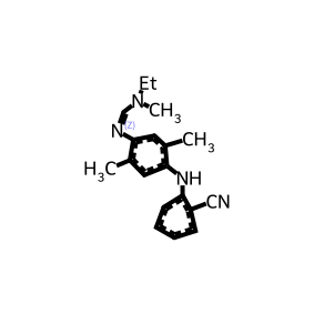 CCN(C)/C=N\c1cc(C)c(Nc2ccccc2C#N)cc1C